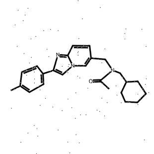 CC(=O)N(Cc1ccc2nc(-c3ccc(C)cc3)cn2c1)CC1CCCCC1